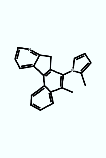 Cc1c(-n2cccc2C)c2c(c3ccccc13)-c1cccnc1C2